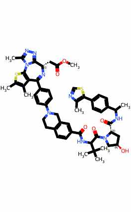 COC(=O)C[C@@H]1N=C(c2ccc(N3CCc4ccc(C(=O)NC(C(=O)N5C[C@H](O)C[C@H]5C(=O)NC(C)c5ccc(-c6scnc6C)cc5)C(C)(C)C)cc4C3)cc2)c2c(sc(C)c2C)-n2c(C)nnc21